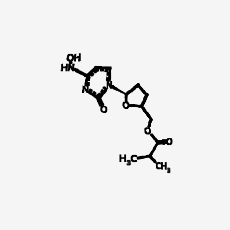 CC(C)C(=O)OCC1CC[C@H](n2ccc(NO)nc2=O)O1